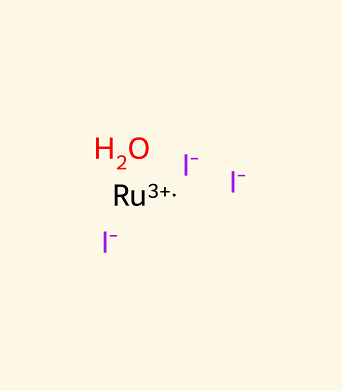 O.[I-].[I-].[I-].[Ru+3]